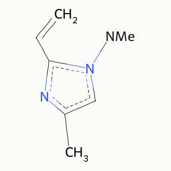 C=Cc1nc(C)cn1NC